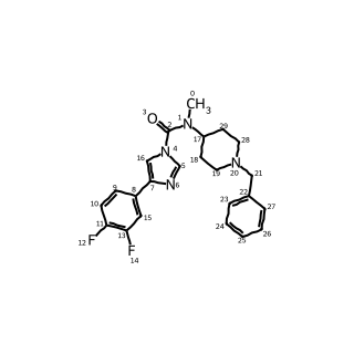 CN(C(=O)n1cnc(-c2ccc(F)c(F)c2)c1)C1CCN(Cc2ccccc2)CC1